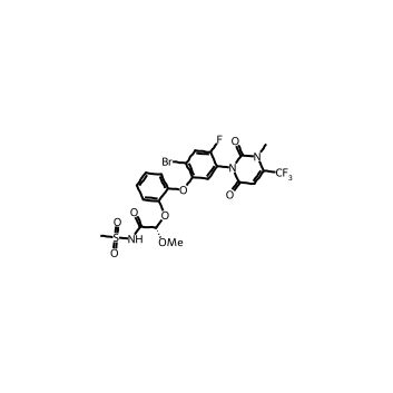 CO[C@@H](Oc1ccccc1Oc1cc(-n2c(=O)cc(C(F)(F)F)n(C)c2=O)c(F)cc1Br)C(=O)NS(C)(=O)=O